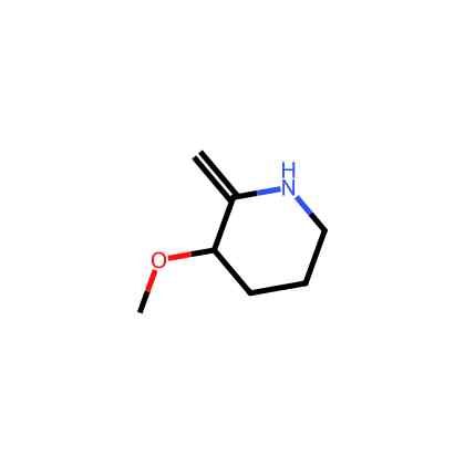 C=C1NCCCC1OC